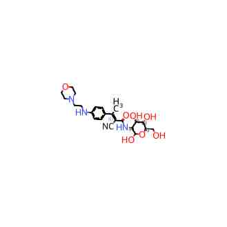 C/C(=C(/C#N)C(=O)N[C@H]1C(O)O[C@H](CO)[C@@H](O)[C@@H]1O)c1ccc(NCCN2CCOCC2)cc1